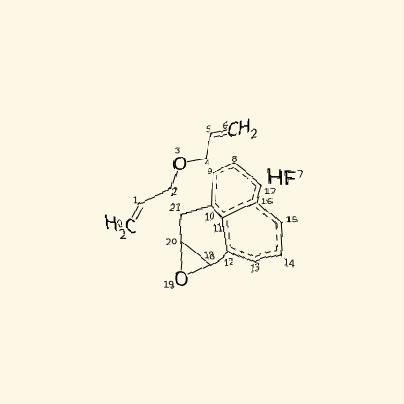 C=CCOCC=C.F.c1cc2c3c(cccc3c1)C1OC1C2